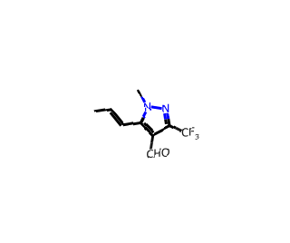 CC=Cc1c(C=O)c(C(F)(F)F)nn1C